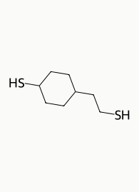 SCCC1CCC(S)CC1